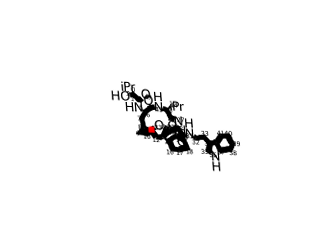 CC(C)[C@H](O)C(=O)N[C@H]1Cc2ccc3c(c2)[C@@]2(c4ccccc4NC2O3)c2oc(nc2C(=O)NCCc2c[nH]c3ccccc23)[C@H](C(C)C)NC1=O